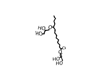 CCCCC(CCCCCCCCC(=O)OCC(O)CO)OCC(O)CO